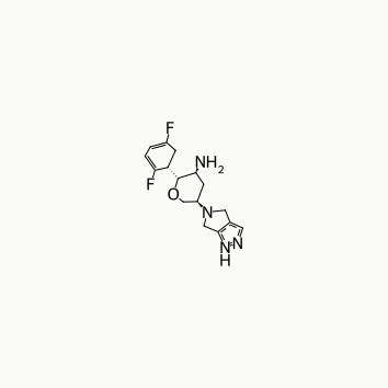 N[C@H]1C[C@@H](N2Cc3cn[nH]c3C2)COC1[C@H]1CC(F)=CC=C1F